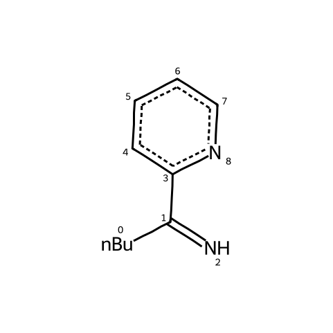 CCCCC(=N)c1ccccn1